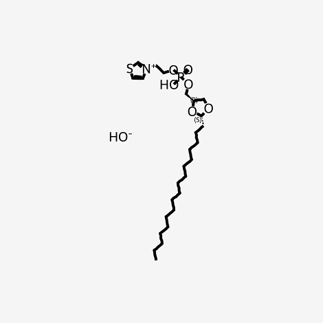 CCCCCCCCCCCCCCCCC[C@H]1OC[C@H](COP(=O)(O)OCC[n+]2ccsc2)O1.[OH-]